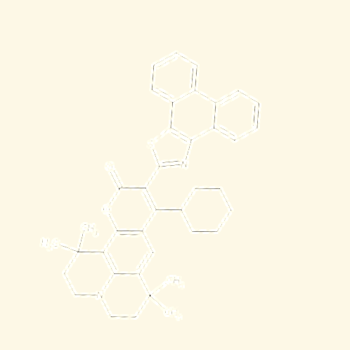 CC1(C)CCN2CCC(C)(C)c3c2c1cc1c(C2CCCCC2)c(-c2nc4c5ccccc5c5ccccc5c4s2)c(=O)oc31